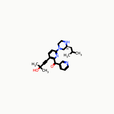 CC(C)C[C@H]1CN(c2ccc(C#CC(C)(C)O)c(C(=O)c3cccnc3)n2)CCN1